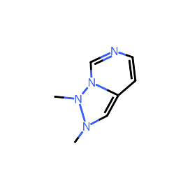 CN1C=C2C=CN=CN2N1C